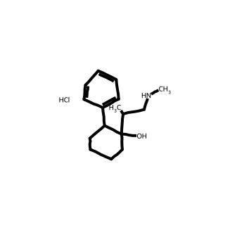 CNCC(C)C1(O)CCCCC1c1ccccc1.Cl